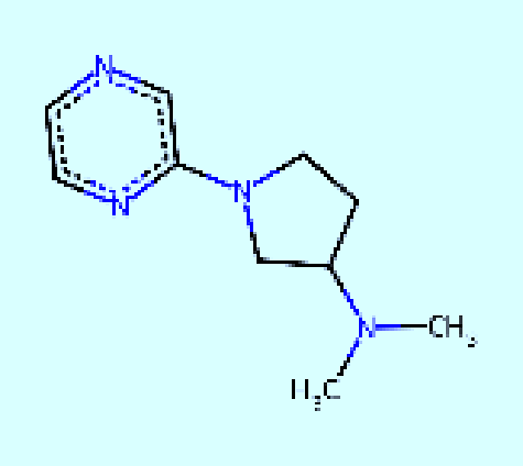 CN(C)C1CCN(c2cnccn2)C1